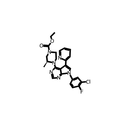 CCOC(=O)N1CCN(c2ncnc3c2c(-c2ccccn2)cn3-c2ccc(F)c(Cl)c2)[C@@H](C)C1